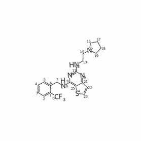 FC(F)(F)c1ccccc1CNc1nc(NCCN2CCCC2)nc2ccsc12